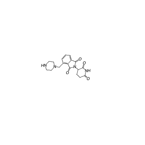 O=C1CCC(N2C(=O)c3cccc(CN4CCNCC4)c3C2=O)C(=O)N1